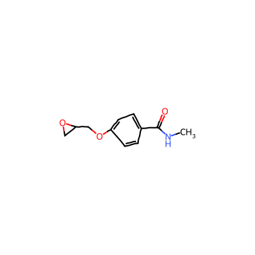 CNC(=O)c1ccc(OCC2CO2)cc1